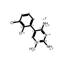 C[n+]1cc(-c2cccc(Cl)c2Cl)c(N)nc1N.[I-]